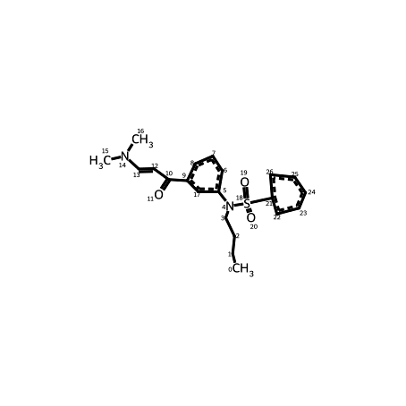 CCCCN(c1cccc(C(=O)C=CN(C)C)c1)S(=O)(=O)c1ccccc1